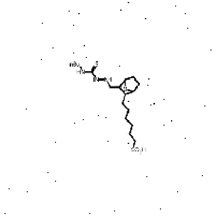 CCCCNC(=S)NNCC1C2CCC(O2)C1CCCCCCC(=O)O